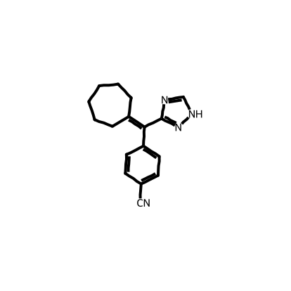 N#Cc1ccc(C(=C2CCCCCC2)c2nc[nH]n2)cc1